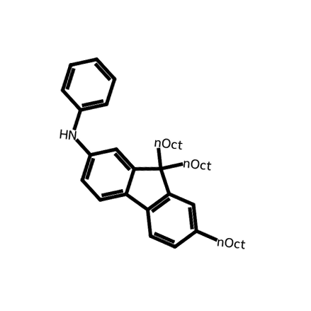 CCCCCCCCc1ccc2c(c1)C(CCCCCCCC)(CCCCCCCC)c1cc(Nc3ccccc3)ccc1-2